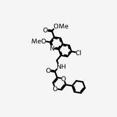 COC(=O)c1cc2cc(Cl)cc(CNC(=O)C3=COC=C(C4=CC=CCC4)O3)c2nc1OC